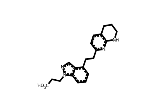 O=C(O)CCn1ncc2c(CCc3ccc4c(n3)NCCC4)cccc21